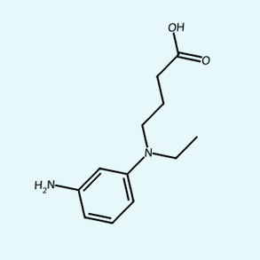 CCN(CCCC(=O)O)c1cccc(N)c1